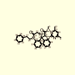 COC(=O)C(Oc1nc(C)cc(C)n1)C1(c2ccccc2)NCC(=O)N(CCc2ccccc2)c2ccccc21